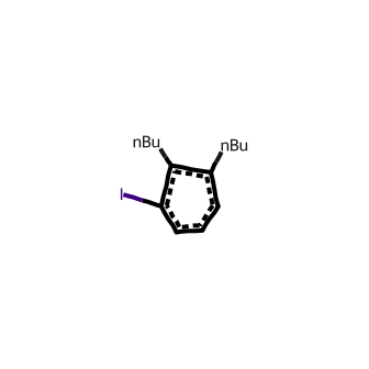 CCCCc1cccc(I)c1CCCC